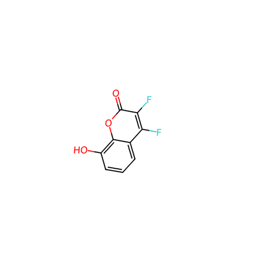 O=c1oc2c(O)cccc2c(F)c1F